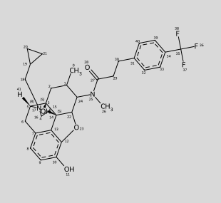 CC1C[C@@]2(O)[C@H]3Cc4ccc(O)c5c4[C@@]2(CCN3CC2CC2)C(O5)C1N(C)C(=O)CCc1ccc(C(F)(F)F)cc1